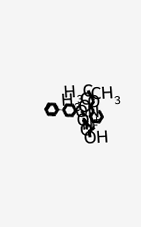 CC(C)(C)OC(=O)N1CCC[C@](CCO)([N+](=O)[O-])[C@@H]1CO[C@H]1CC[C@@H](c2ccccc2)CC1